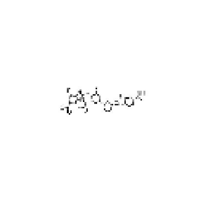 CCC1(Cn2c(Cc3ccc(-c4cccc(OCc5ccc(C(C)=N)cc5F)n4)cc3F)nc3c(F)cc(C(=O)O)cc32)CC1